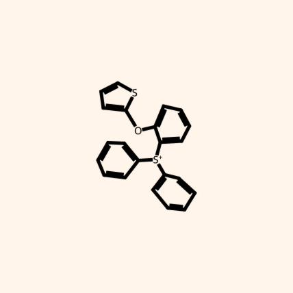 c1ccc([S+](c2ccccc2)c2ccccc2Oc2cccs2)cc1